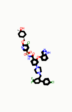 C[C@]1(O)CC[C@H](COc2ncc(S(=O)(=O)NC(=O)c3ccc(N4CCN(CC5=C(c6ccc(Cl)cc6)CCC(F)(F)C5)CC4)cc3Oc3cccc4[nH]ncc34)cc2Cl)CC1